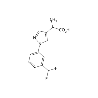 CC(C(=O)O)c1cnn(-c2cccc(C(F)F)c2)c1